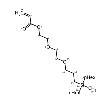 C=CC(=O)OCCOCCOCCC[Si](C)(CCCCCC)CCCCCC